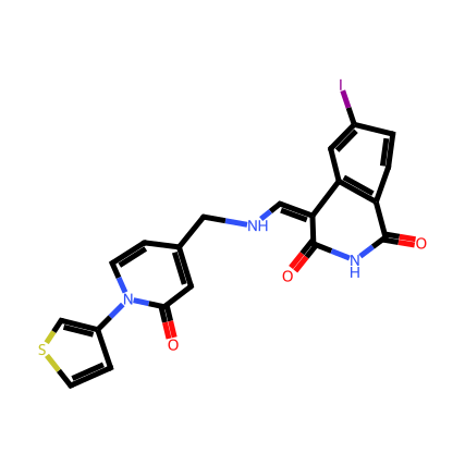 O=C1NC(=O)c2ccc(I)cc2/C1=C/NCc1ccn(-c2ccsc2)c(=O)c1